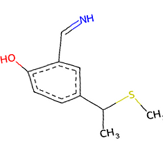 CSC(C)c1ccc(O)c(C=N)c1